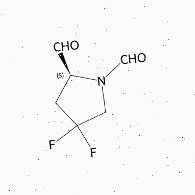 O=C[C@@H]1CC(F)(F)CN1C=O